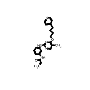 C=CC(=O)Nc1cccc(Nc2ncc(C)c(OCCCCc3ccncc3)n2)c1